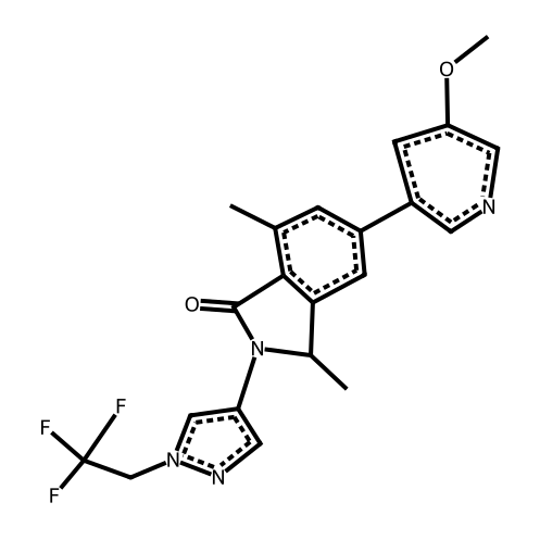 COc1cncc(-c2cc(C)c3c(c2)C(C)N(c2cnn(CC(F)(F)F)c2)C3=O)c1